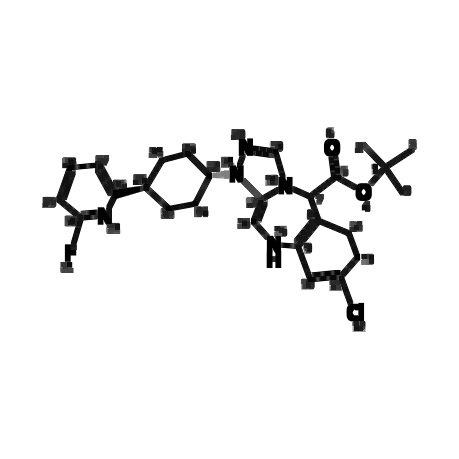 CC(C)(C)OC(=O)C1C2=C(C=C(Cl)CC2)NC=C2N1C=NN2[C@H]1CC[C@H](c2cccc(F)n2)CC1